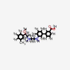 [2H]OC(=O)c1c([2H])c([2H])c([2H])c(-c2c([2H])c([2H])c([2H])c(N([2H])C([2H])([2H])C([2H])([2H])N([2H])C([2H])([2H])[C@]([2H])(O[2H])c3c([2H])c([2H])c([2H])c(C)c3[2H])c2[2H])c1[2H]